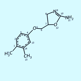 Cc1ccc(OCC2CN=C(N)O2)cc1C